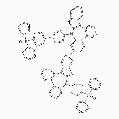 O=P(c1ccccc1)(c1ccccc1)c1ccc(-c2ccc(N3c4cc(-c5ccc6c(c5)nc5n6-c6ccccc6-c6ccccc6N5c5ccc(P(=O)(c6ccccc6)c6ccccc6)cc5)ccc4-c4ccccc4-n4c3nc3ccccc34)cc2)cc1